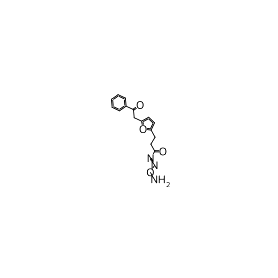 NON=NC(=O)CCc1ccc(CC(=O)c2ccccc2)o1